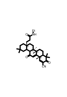 CCNC(=O)CC[C@]12CCC(C)(C)CC1C1C(=O)C=C3[C@@]4(C)C=C(C#N)C(=O)C(C)(C)C4CC[C@@]3(C)[C@]1(C)CC2